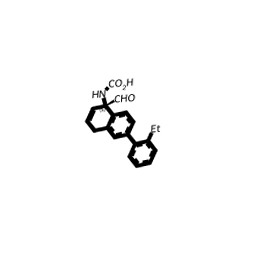 CCc1ccccc1-c1ccc2c(c1)CC=C[C@]2(C=O)NC(=O)O